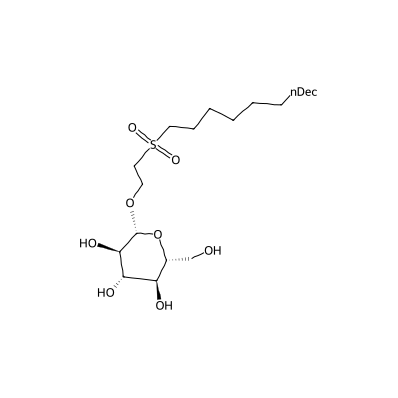 CCCCCCCCCCCCCCCCS(=O)(=O)CCO[C@@H]1O[C@H](CO)[C@@H](O)[C@H](O)[C@H]1O